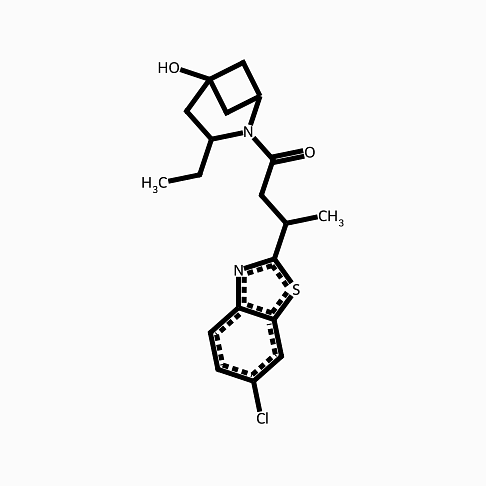 CCC1CC2(O)CC(C2)N1C(=O)CC(C)c1nc2ccc(Cl)cc2s1